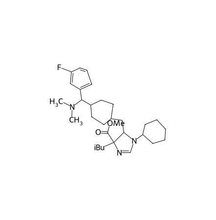 CCC(C)C1(C(=O)OC)N=CN(C2CCCCC2)C1CC1CCC(C(c2cccc(F)c2)N(C)C)CC1